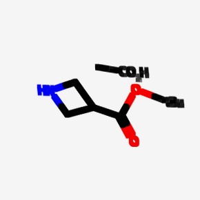 CC(=O)O.CC(C)(C)OC(=O)C1CNC1